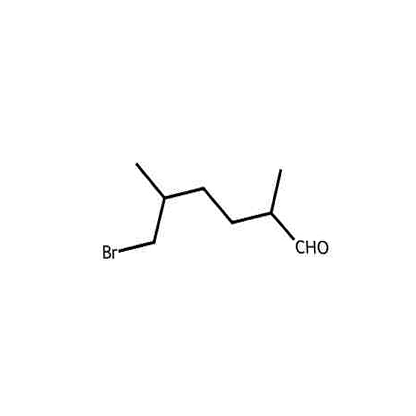 CC(C=O)CCC(C)CBr